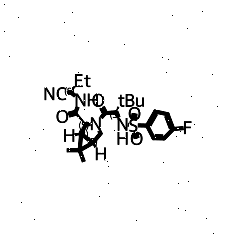 CC[C@@H](C#N)NC(=O)[C@@H]1[C@@H]2[C@H](CN1C(=O)[C@@H](NS(=O)(=O)c1ccc(F)cc1)C(C)(C)C)C2(C)C